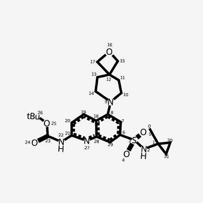 CC1(NS(=O)(=O)c2cc(N3CCC4(CC3)COC4)c3ccc(NC(=O)OC(C)(C)C)nc3c2)CC1